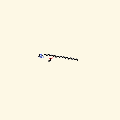 C1=NCCN1.C=CC(=O)OC(/C=C/CCCCCCCCCCCCCC)CCCCCC